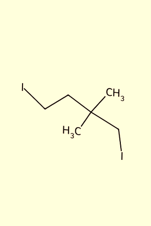 CC(C)(CI)CCI